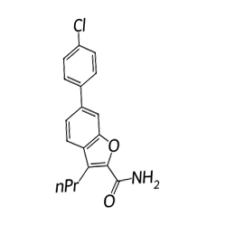 CCCc1c(C(N)=O)oc2cc(-c3ccc(Cl)cc3)ccc12